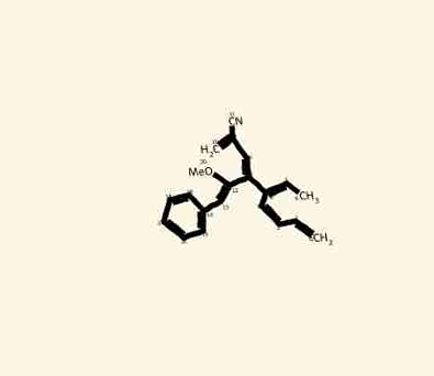 C=C\C=C/C(=C\C)C(=C/C(=C)C#N)/C(=C/c1ccccc1)OC